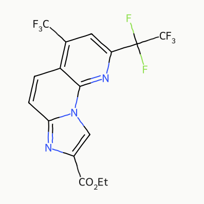 CCOC(=O)c1cn2c(ccc3c(C(F)(F)F)cc(C(F)(F)C(F)(F)F)nc32)n1